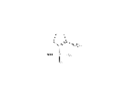 CCC[CH2][Sn]([CH2]CCC)([CH2]CCC)[C]1=C(C(=O)OCC)CCC1